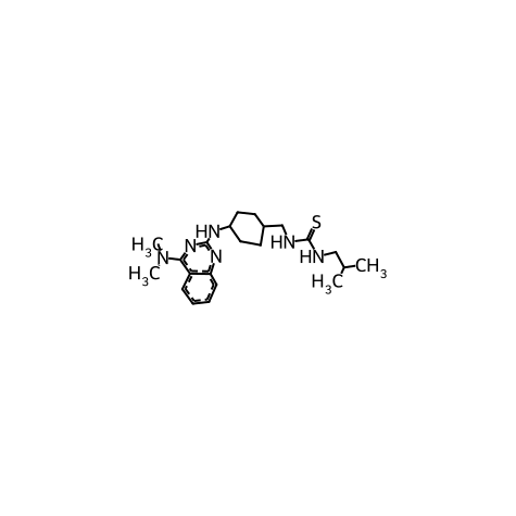 CC(C)CNC(=S)NCC1CCC(Nc2nc(N(C)C)c3ccccc3n2)CC1